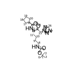 CC(C)(C)OC(=O)NCCCC[C@H](NC(=O)C1CCCC1)C(=O)Cn1ncnn1